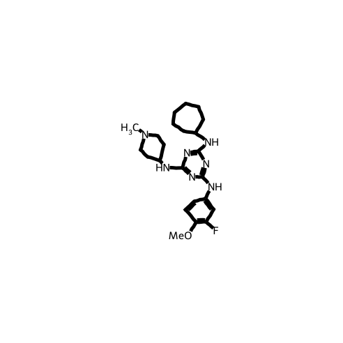 COc1ccc(Nc2nc(NC3CCCCCC3)nc(NC3CCN(C)CC3)n2)cc1F